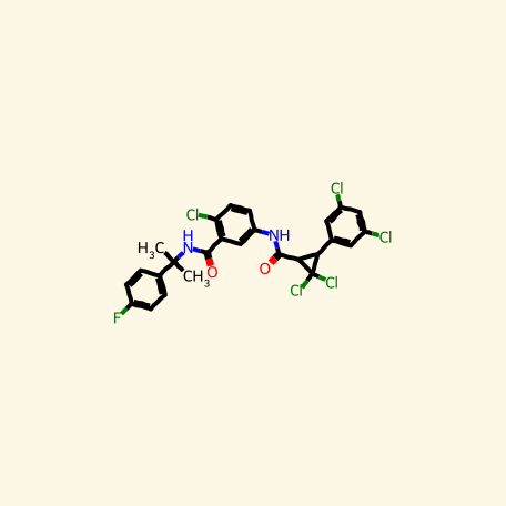 CC(C)(NC(=O)c1cc(NC(=O)C2C(c3cc(Cl)cc(Cl)c3)C2(Cl)Cl)ccc1Cl)c1ccc(F)cc1